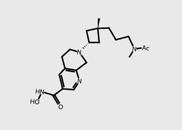 CC(=O)N(C)CCC[C@]1(C)C[C@H](N2CCc3cc(C(=O)NO)cnc3C2)C1